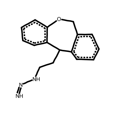 N=NNCCC1c2ccccc2COc2ccccc21